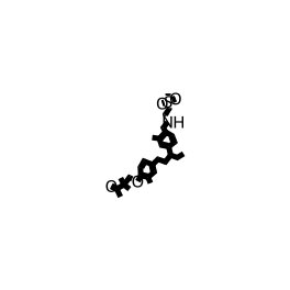 CCC(CCc1ccc(OCC(C)(C)C(C)=O)c(C)c1)c1ccc(CNCCS(C)(=O)=O)c(C)c1